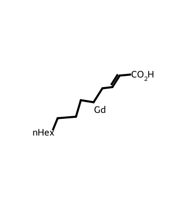 CCCCCCCCCCCC=CC(=O)O.[Gd]